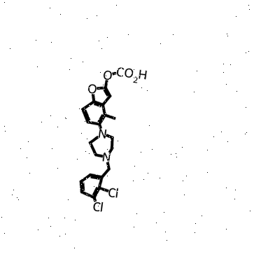 Cc1c(N2CCN(Cc3cccc(Cl)c3Cl)CC2)ccc2oc(OC(=O)O)cc12